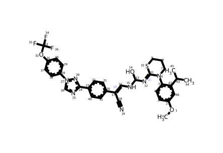 COc1ccc(N2CCCS/C2=N\C(O)N/C=C(\C#N)c2ccc(-c3ncn(-c4ccc(OC(F)(F)F)cc4)n3)cc2)c(C(C)C)c1